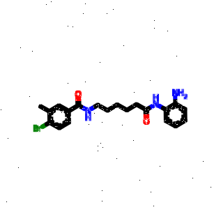 Cc1cc(C(=O)NCCCCCC(=O)Nc2ccccc2N)ccc1Br